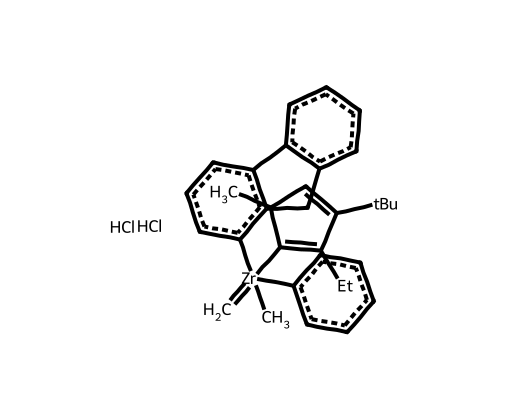 Cl.Cl.[CH2]=[Zr]([CH3])([C]1=C(CC)C(C(C)(C)C)=CC1C)([c]1ccccc1)[c]1cccc2c1Cc1ccccc1-2